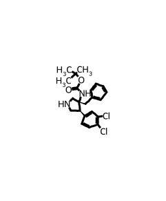 CC(C)(C)OC(=O)N[C@@]1(Cc2ccccc2)CNC[C@@H]1c1ccc(Cl)c(Cl)c1